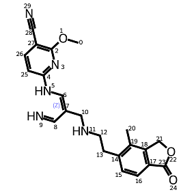 COc1nc(N/C=C(\C=N)CNCCc2ccc3c(c2C)COC3=O)ccc1C#N